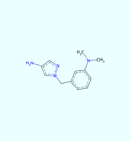 CN(C)c1cccc(Cn2cc(N)cn2)c1